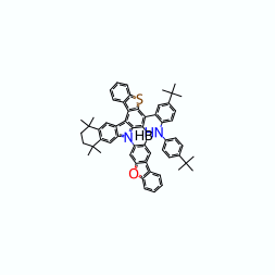 CC(C)(C)c1ccc(Nc2ccc(C(C)(C)C)cc2-c2c3c4c(c5cc6c(cc5n4-c4cc5oc7ccccc7c5cc4B3)C(C)(C)CCC6(C)C)c3c2sc2ccccc23)cc1